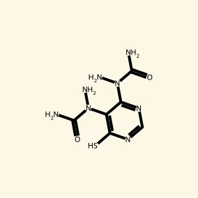 NC(=O)N(N)c1ncnc(S)c1N(N)C(N)=O